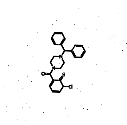 O=C(C1=CC=CC(Cl)C1=S)N1CCN(C(c2ccccc2)c2ccccc2)CC1